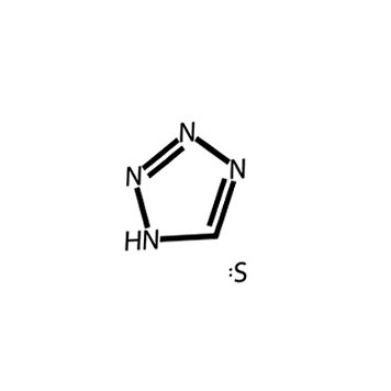 [S].c1nnn[nH]1